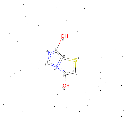 Oc1ncn2c(O)csc12